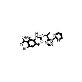 COC(=O)c1cc(NC(=O)NC(C)c2ncnn2-c2ncccn2)c(F)cc1Br